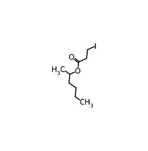 CCCCC(C)OC(=O)CCI